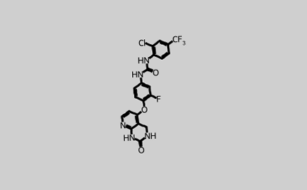 O=C(Nc1ccc(Oc2ccnc3c2CNC(=O)N3)c(F)c1)Nc1ccc(C(F)(F)F)cc1Cl